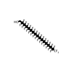 OCC(F)(F)C(F)(F)C(F)(F)C(F)(F)C(F)(F)C(F)(F)C(F)(F)C(F)(F)C(F)(F)C(F)(F)C(F)(F)C(F)(F)C(F)(F)C(F)(F)C(F)(F)C(F)(F)F